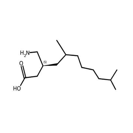 CC(C)CCCCC(C)C[C@H](CN)CC(=O)O